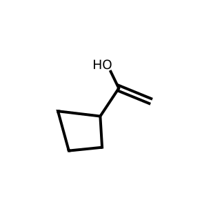 C=C(O)C1CCC1